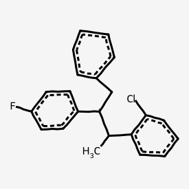 CC([C](Cc1ccccc1)c1ccc(F)cc1)c1ccccc1Cl